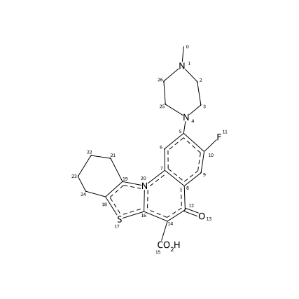 CN1CCN(c2cc3c(cc2F)c(=O)c(C(=O)O)c2sc4c(n23)CCCC4)CC1